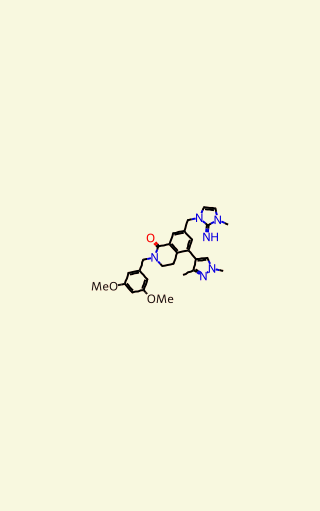 COc1cc(CN2CCc3c(cc(Cn4ccn(C)c4=N)cc3-c3cn(C)nc3C)C2=O)cc(OC)c1